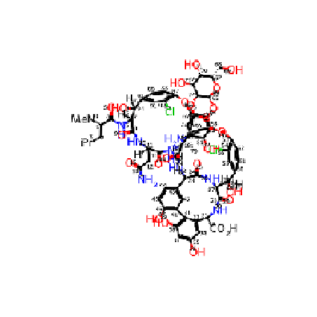 CN[C@H](CC(C)C)C(=O)N[C@H]1C(=O)N[C@@H](CC(N)=O)C(=O)N[C@H]2C(=O)N[C@H]3C(=O)N[C@H](C(=O)N[C@@H](C(=O)O)c4cc(O)cc(O)c4-c4cc3ccc4O)[C@H](O)c3ccc(c(Cl)c3)Oc3cc2cc(c3O[C@@H]2O[C@@H](CO)[C@@H](O)[C@H](O)[C@@H]2O[C@@H]2C[C@](C)(N)[C@H](O)[C@@H](C)O2)Oc2ccc(cc2Cl)[C@H]1O